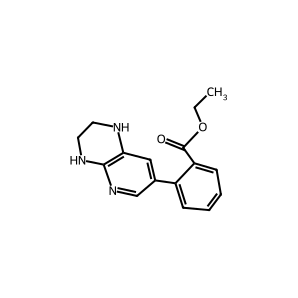 CCOC(=O)c1ccccc1-c1cnc2c(c1)NCCN2